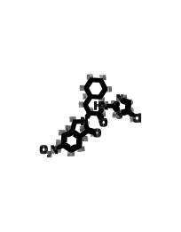 O=C(Nc1ncc(Cl)s1)C(CC1CCCCC1)N1Cc2cc([N+](=O)[O-])ccc2C1=O